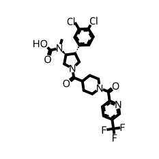 CN(C(=O)O)[C@@H]1CN(C(=O)C2CCN(C(=O)c3ccc(C(F)(F)F)cn3)CC2)C[C@H]1c1ccc(Cl)c(Cl)c1